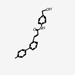 Cc1ccc(-c2cccc(/C=C/C(=O)Nc3ccc(CO)cc3)c2)cc1